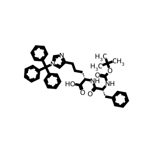 CC(C)(C)OC(=O)N[C@H](Cc1ccccc1)C(=O)N[C@@H](CCCc1cn(C(c2ccccc2)(c2ccccc2)c2ccccc2)cn1)C(=O)O